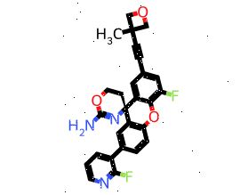 CC1(C#Cc2cc(F)c3c(c2)[C@]2(CCOC(N)=N2)c2cc(-c4cccnc4F)ccc2O3)COC1